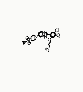 COc1cc(OCCCN(C)C)c(-c2cn3ccc(N4CCN(S(=O)(=O)C5CC5)CC4)cc3n2)cc1Cl